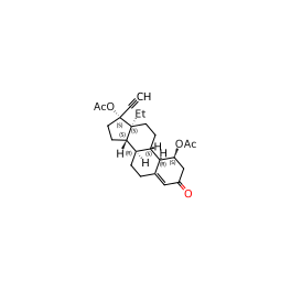 C#C[C@]1(OC(C)=O)CC[C@H]2[C@@H]3CCC4=CC(=O)C[C@H](OC(C)=O)[C@@H]4[C@H]3CC[C@@]21CC